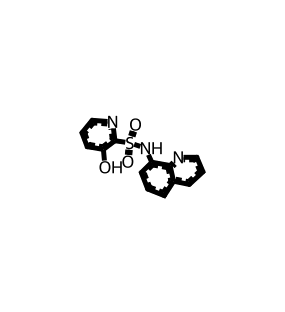 O=S(=O)(Nc1cccc2cccnc12)c1ncccc1O